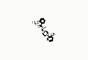 Cc1ccccc1C(=O)NCN1CCN(c2ncccc2C#N)CC1